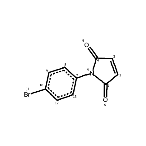 O=C1C=CC(=O)N1c1ccc(Br)cc1